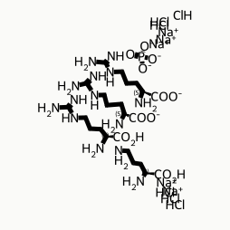 Cl.Cl.Cl.Cl.Cl.Cl.N=C(N)NCCC[C@H](N)C(=O)O.N=C(N)NCCC[C@H](N)C(=O)[O-].N=C(N)NCCC[C@H](N)C(=O)[O-].NCCC[C@H](N)C(=O)O.O=P([O-])([O-])[O-].[Na+].[Na+].[Na+].[Na+].[Na+]